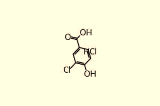 Cl.O=C(O)c1ccc(O)c(Cl)c1